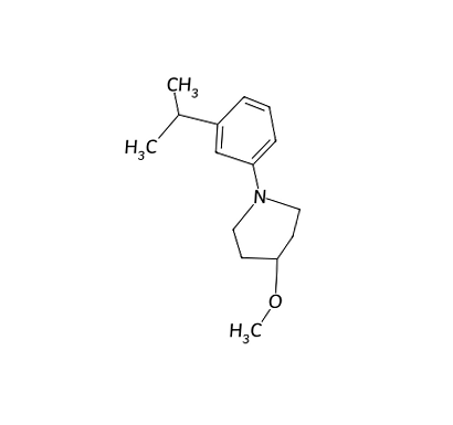 COC1CCN(c2cccc(C(C)C)c2)CC1